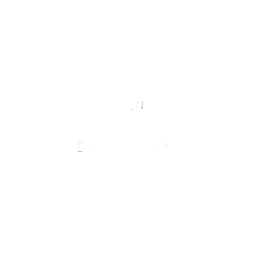 CCC=C(C#N)CCCC